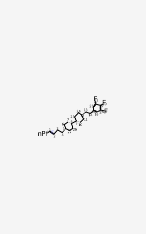 CCC/C=C/CC[C@H]1CC[C@H]([C@H]2CC[C@H](CCc3cc(F)c(F)c(F)c3)CC2)CC1